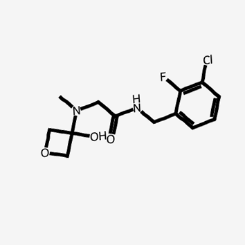 CN(CC(=O)NCc1cccc(Cl)c1F)C1(O)COC1